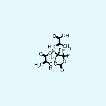 C=C(C)C(=O)O.C=C(C)C(=O)O.O=C1OOC(F)(F)C(F)(F)O1